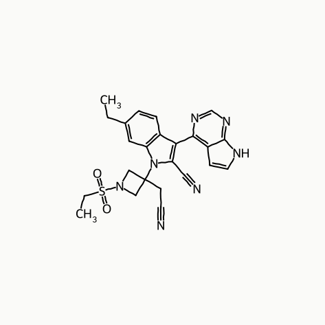 CCc1ccc2c(-c3ncnc4[nH]ccc34)c(C#N)n(C3(CC#N)CN(S(=O)(=O)CC)C3)c2c1